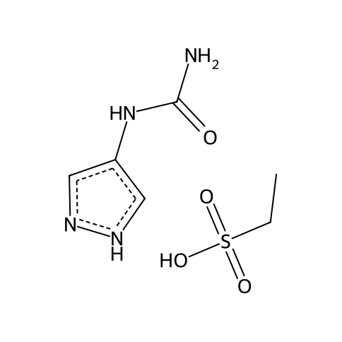 CCS(=O)(=O)O.NC(=O)Nc1cn[nH]c1